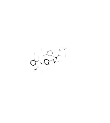 CCOC(C)OC(C)c1nn(-c2cc(OC(C)C3CCCCC3)c(C(=O)Nc3c(C)cccc3NC(=O)O)cc2F)c(=O)n1C